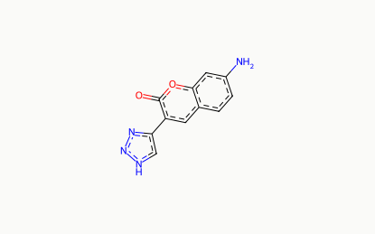 Nc1ccc2cc(-c3c[nH]nn3)c(=O)oc2c1